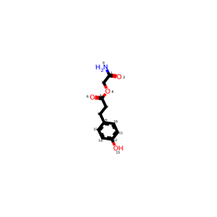 NC(=O)COC(=O)CCc1ccc(O)cc1